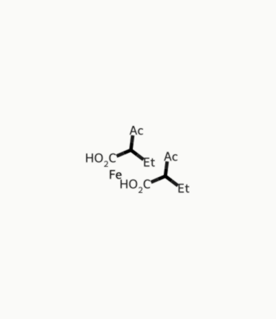 CCC(C(C)=O)C(=O)O.CCC(C(C)=O)C(=O)O.[Fe]